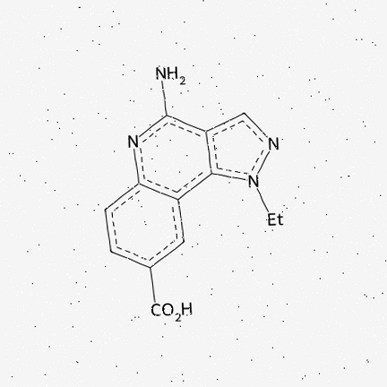 CCn1ncc2c(N)nc3ccc(C(=O)O)cc3c21